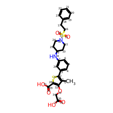 Cc1c(-c2cccc(NC3CCN(S(=O)(=O)CCc4ccccc4)CC3)c2)sc(C(=O)O)c1OCC(=O)O